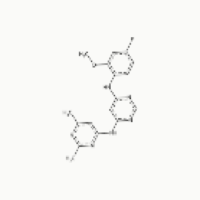 COc1cc(F)ccc1Nc1cc(Nc2cc(C)nc(C)n2)ncn1